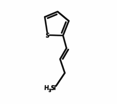 [SiH3]CC=Cc1cccs1